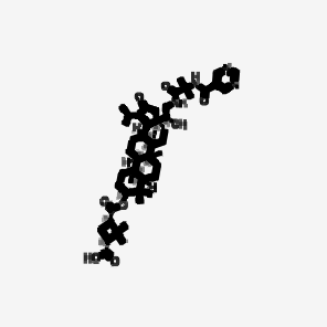 CC(C)C1=C2[C@H]3CC[C@@H]4[C@@]5(C)CC[C@H](OC(=O)[C@H]6C[C@@H](C(=O)O)C6(C)C)C(C)(C)[C@@H]5CC[C@@]4(C)[C@]3(C)CC[C@@]2([C@@H](O)CNC(=O)C(C)(C)NC(=O)c2cncnc2)CC1=O